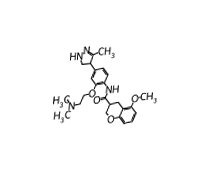 COc1cccc2c1CC(C(=O)Nc1ccc(C3CNN=C3C)cc1OCCN(C)C)CO2